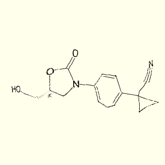 N#CC1(c2ccc(N3C[C@H](CO)OC3=O)cc2)CC1